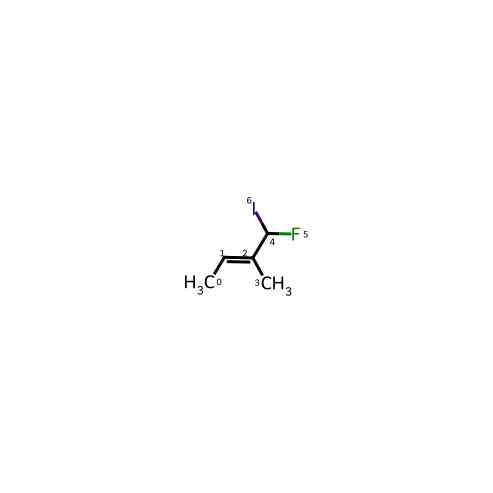 C/C=C(\C)C(F)I